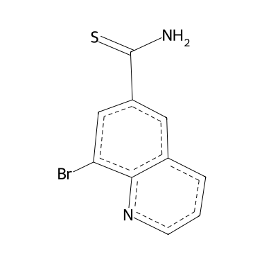 NC(=S)c1cc(Br)c2ncccc2c1